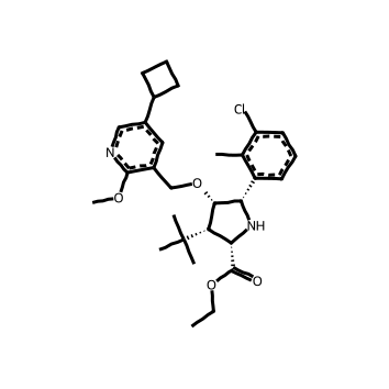 CCOC(=O)[C@H]1N[C@@H](c2cccc(Cl)c2C)[C@@H](OCc2cc(C3CCC3)cnc2OC)[C@H]1C(C)(C)C